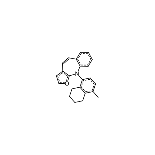 Cc1ccc(N2c3ccccc3C=Cc3ccoc32)c2c1CCCC2